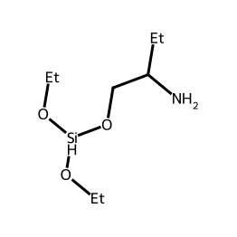 CCO[SiH](OCC)OCC(N)CC